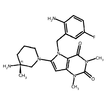 Cn1c(=O)c2c(cc(N3CCC[C@@](C)(N)C3)n2Cc2cc(F)ccc2N)n(C)c1=O